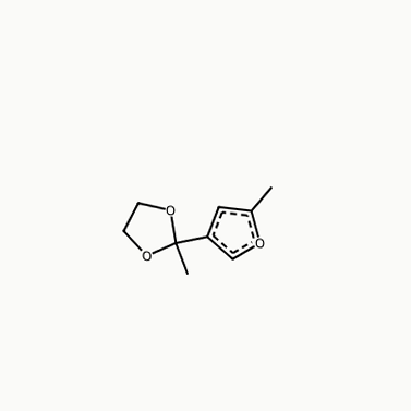 Cc1cc(C2(C)OCCO2)co1